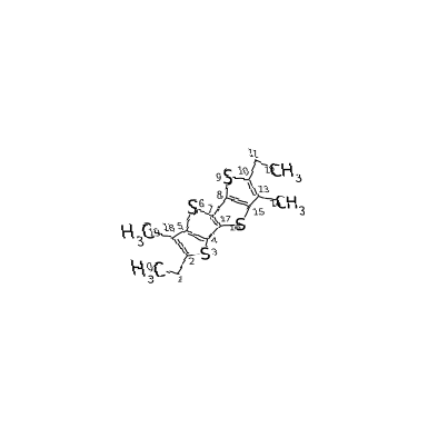 CCc1sc2c(sc3c4sc(CC)c(C)c4sc23)c1C